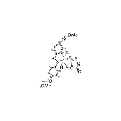 COCOc1ccc([C@H]2Oc3ccc(OCOC)cc3[C@H]3C[C@@]4(COC(=O)O4)C[C@H]32)cc1